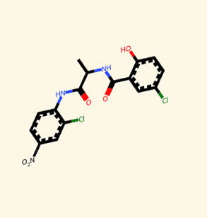 CC(NC(=O)c1cc(Cl)ccc1O)C(=O)Nc1ccc([N+](=O)[O-])cc1Cl